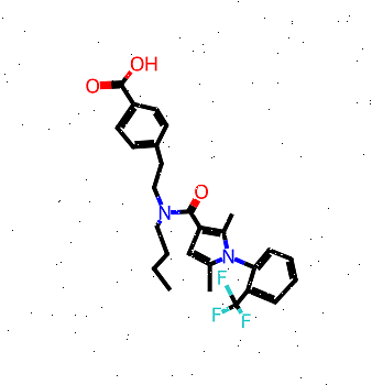 CCCCN(CCc1ccc(C(=O)O)cc1)C(=O)c1cc(C)n(-c2ccccc2C(F)(F)F)c1C